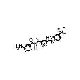 C[C@H](NC(=O)c1cc(N)ncn1)c1cc(-c2nc3ccc(C(F)(F)F)cc3[nH]2)on1